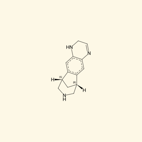 C1=Nc2cc3c(cc2NC1)[C@H]1CNC[C@@H]3C1